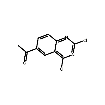 CC(=O)c1ccc2nc(Cl)nc(Cl)c2c1